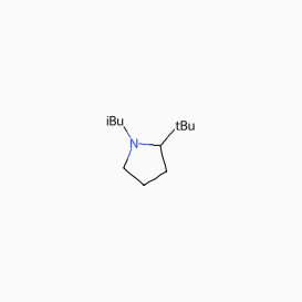 CCC(C)N1CCCC1C(C)(C)C